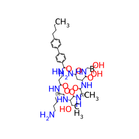 CCCCc1ccc(-c2ccc(C(=O)NCCC(=O)N[C@@H](CCCCN)C(=O)NC(C(=O)N[C@@H](C)C(=O)NC(CC(N)=O)C(=O)NCB(O)O)C(C)O)cc2)cc1